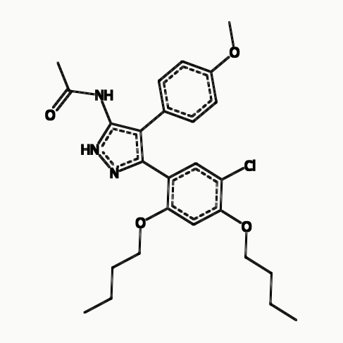 CCCCOc1cc(OCCCC)c(-c2n[nH]c(NC(C)=O)c2-c2ccc(OC)cc2)cc1Cl